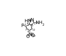 Nc1n[nH]c2c(F)cc([N+](=O)[O-])cc12